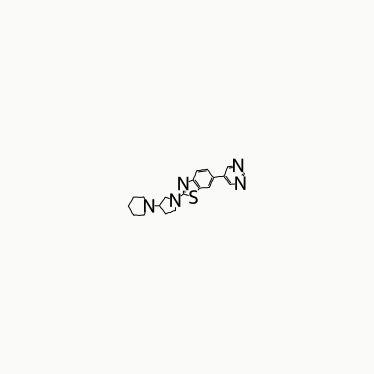 c1ncc(-c2ccc3nc(N4CCC(N5CCCCC5)C4)sc3c2)cn1